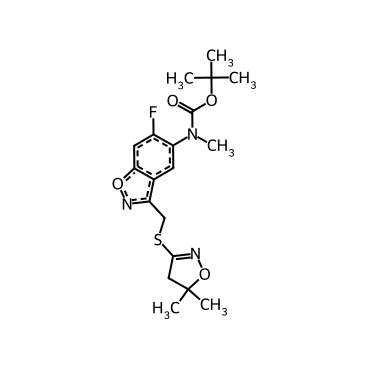 CN(C(=O)OC(C)(C)C)c1cc2c(CSC3=NOC(C)(C)C3)noc2cc1F